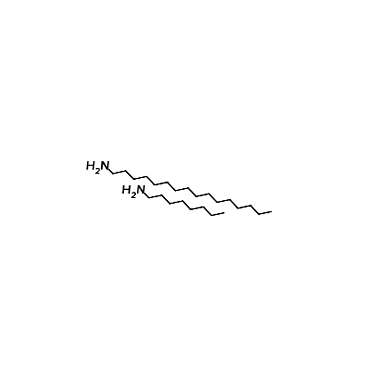 CCCCCCCCCCCCCCCCN.CCCCCCCCN